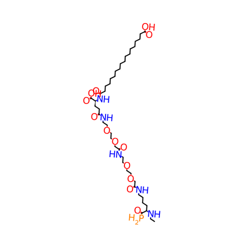 CCNC(CCCCNC(=O)COCCOCCNC(=O)COCCOCCNC(=O)CC[C@H](NC(=O)CCCCCCCCCCCCCCCCC(=O)O)C(=O)O)C(=O)P